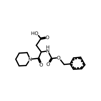 O=C(O)CC(NC(=O)OCc1ccccc1)C(=O)N1CCCCC1